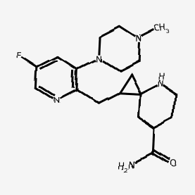 CN1CCN(c2cc(F)cnc2CC2CC23CC(C(N)=O)CCN3)CC1